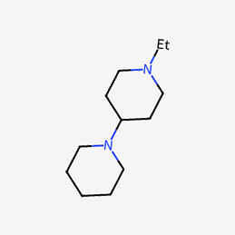 CCN1CCC(N2CCCCC2)CC1